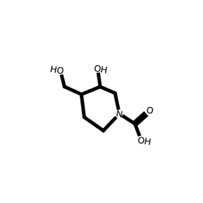 O=C(O)N1CCC(CO)C(O)C1